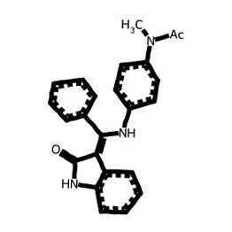 CC(=O)N(C)c1ccc(NC(=C2C(=O)Nc3ccccc32)c2ccccc2)cc1